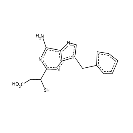 Nc1nc(C(S)CC(=O)O)nc2c1ncn2Cc1ccccc1